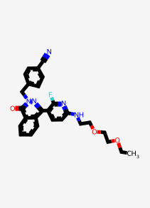 CCOCCOCCNc1ccc(-c2nn(Cc3ccc(C#N)cc3)c(=O)c3ccccc23)c(F)n1